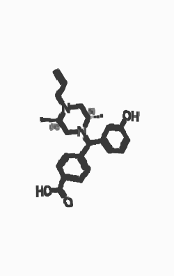 C=CCN1C[C@H](C)N(C(c2ccc(C(=O)O)cc2)c2cccc(O)c2)C[C@H]1C